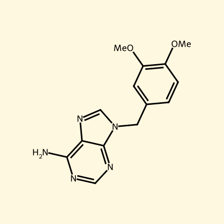 COc1ccc(Cn2cnc3c(N)ncnc32)cc1OC